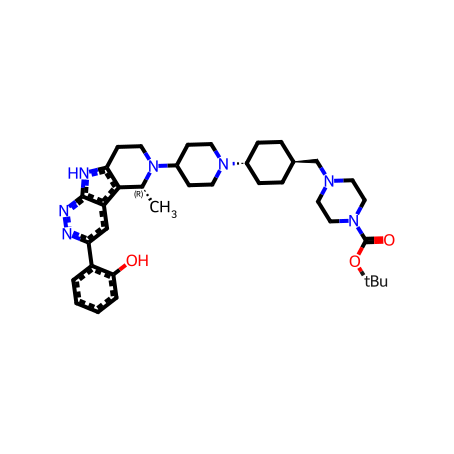 C[C@@H]1c2c([nH]c3nnc(-c4ccccc4O)cc23)CCN1C1CCN([C@H]2CC[C@H](CN3CCN(C(=O)OC(C)(C)C)CC3)CC2)CC1